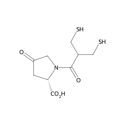 O=C1C[C@@H](C(=O)O)N(C(=O)C(CS)CS)C1